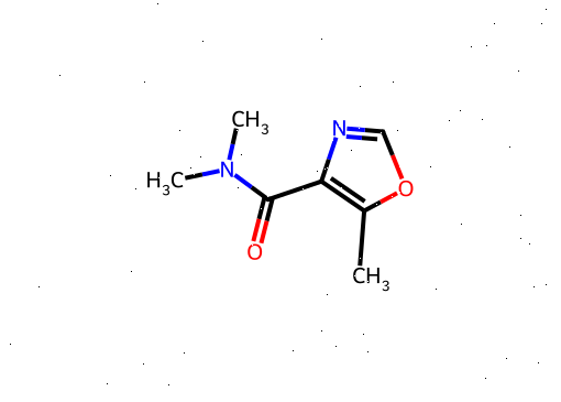 Cc1ocnc1C(=O)N(C)C